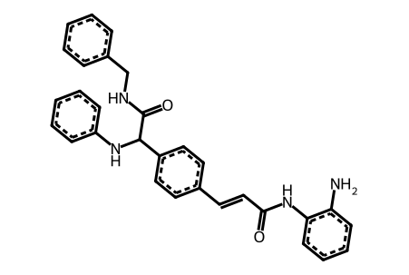 Nc1ccccc1NC(=O)C=Cc1ccc(C(Nc2ccccc2)C(=O)NCc2ccccc2)cc1